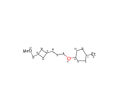 CCC1CCC(OCCCC2CC(COC)C2)CC1